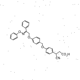 N#CC(CC(=O)O)c1ccc(OCc2ccc(OCC(=NOc3ccccc3)c3ccccc3)cc2)cc1